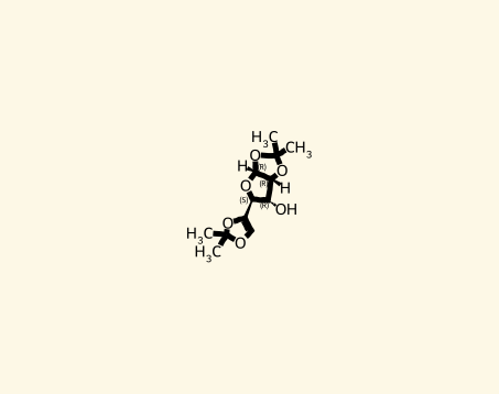 CC1(C)OC=C([C@H]2O[C@@H]3OC(C)(C)O[C@@H]3[C@@H]2O)O1